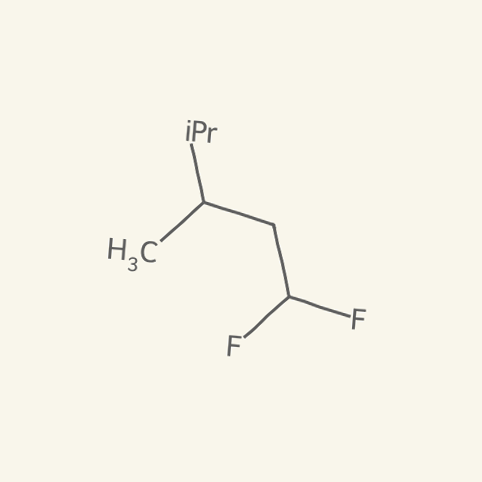 CC(C)C(C)CC(F)F